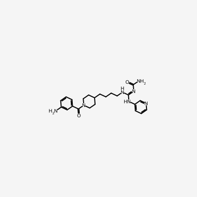 NC(=O)/N=C(\NCCCCC1CCN(C(=O)c2cccc(N)c2)CC1)Nc1cccnc1